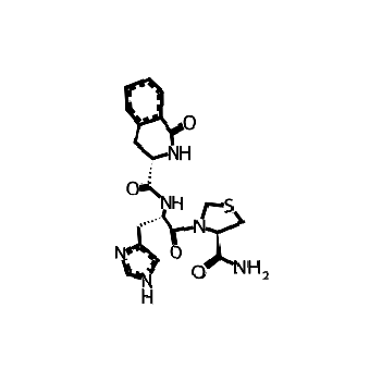 NC(=O)[C@@H]1CSCN1C(=O)[C@H](Cc1c[nH]cn1)NC(=O)[C@@H]1Cc2ccccc2C(=O)N1